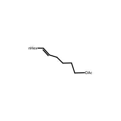 CCCCCCC=CCCCCOC(C)=O